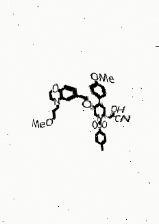 COCCCN1CCOc2ccc(CO[C@H]3CN(S(=O)(=O)c4ccc(C)cc4)[C@@H](C[C@H](O)C#N)C[C@@H]3c3ccc(OC)cc3)cc21